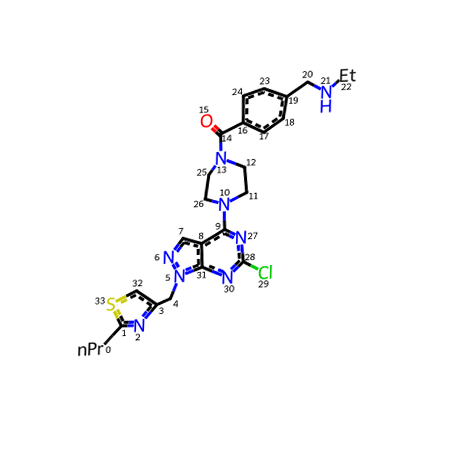 CCCc1nc(Cn2ncc3c(N4CCN(C(=O)c5ccc(CNCC)cc5)CC4)nc(Cl)nc32)cs1